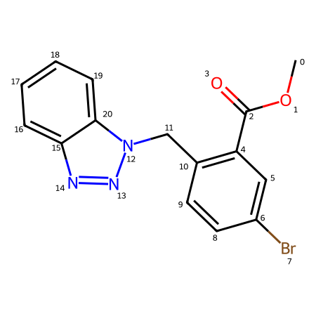 COC(=O)c1cc(Br)ccc1Cn1nnc2ccccc21